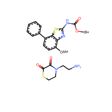 COc1ccc(-c2ccccc2)c2sc(NC(=O)OC(C)(C)C)nc12.NCCN1CCSC(=O)C1=O